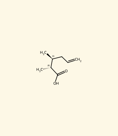 C=CC[C@H](C)[C@@H](C)C(=O)O